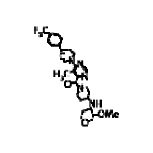 COC1COCCC1NC1CCN(C(=O)c2ncnc(N3CCC(c4ccc(C(F)(F)F)cc4)CC3)c2C)CC1